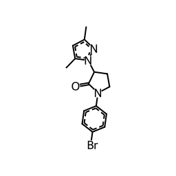 Cc1cc(C)n(C2CCN(c3ccc(Br)cc3)C2=O)n1